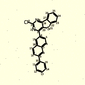 Clc1nc(-c2ccc3cc(-c4ccccc4)ccc3c2)c2sc3ccccc3c2n1